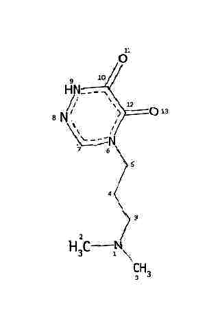 CN(C)CCCn1[c]n[nH]c(=O)c1=O